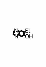 CCc1cc2nccnc2cc1O